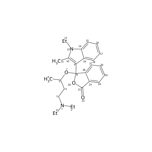 CCN(CC)CCC(C)OC1(c2c(C)n(CC)c3ccccc23)OC(=O)c2ccccc21